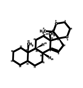 CC1OCCO[C@@]12CC=C1[C@@H]3CCC4CCCC[C@]4(C)[C@H]3CC[C@@]12C